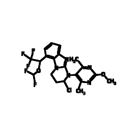 COc1nc(C)c(N2c3nc4cccc(C(OC(F)F)C(F)(F)F)c4n3CCC2Cl)c(C)n1